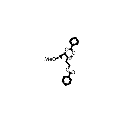 CON=C[C@H](OC(=O)c1ccccc1)[C@@H](F)CCOC(=O)c1ccccc1